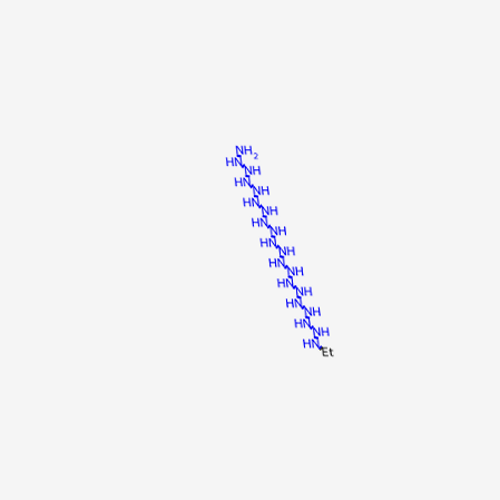 CCNNNNNNNNNNNNNNNNNNNN